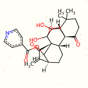 C=C1C(=O)[C@]23[C@H](OC(=O)c4ccncc4)[C@H]1CC[C@H]2[C@@]12COC3(O)[C@@H](O)[C@@H]1C(C)(C)CCC2=O